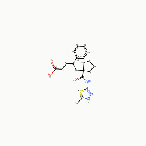 Cc1nnc(NC(=O)C2(CC(CCC(=O)O)c3ccccc3)CCCC2)s1